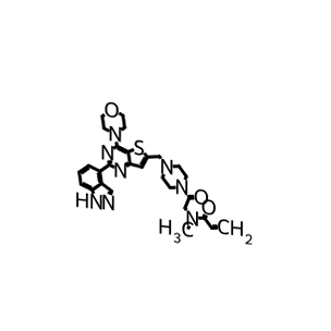 C=CC(=O)N(C)CC(=O)N1CCN(Cc2cc3nc(-c4cccc5[nH]ncc45)nc(N4CCOCC4)c3s2)CC1